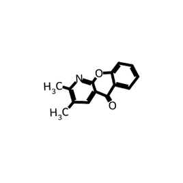 Cc1cc2c(=O)c3ccccc3oc2nc1C